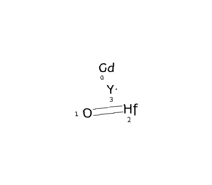 [Gd].[O]=[Hf].[Y]